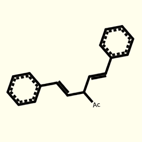 CC(=O)C(C=Cc1ccccc1)C=Cc1ccccc1